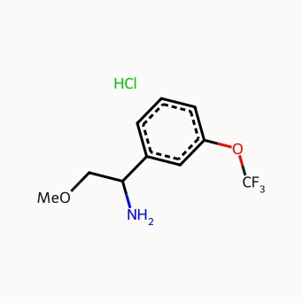 COCC(N)c1cccc(OC(F)(F)F)c1.Cl